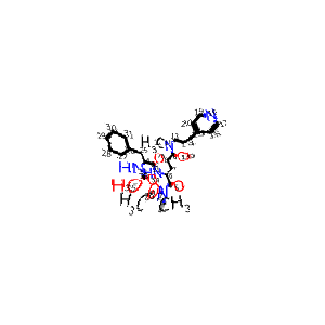 CON(C)C(=O)[C@H](CCC(=O)N(C)CCc1ccncc1)NC(=O)[C@H](CC1CCCCC1)NC(=O)O